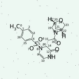 Cc1ccc(S(=O)(=O)N2C=CNC(=O)[C@H]2CC(=O)N2C[C@H]3C[C@@H]2CO3)cc1